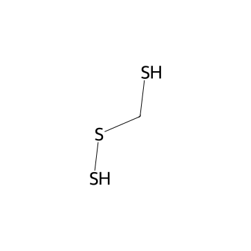 SCSS